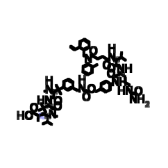 C=Cc1ccccc1CN(C(=O)CCC(=O)N[C@H](C(=O)N[C@@H](CCCNC(N)=O)C(=O)Nc1ccc(COC(=O)NCc2cccc(C(C)(C)[C@@H](NC)C(=O)N[C@H](C(=O)N(C)[C@H](/C=C(\C)C(=O)O)C(C)C)C(C)(C)C)c2)cc1)C(C)C)c1ccccc1C